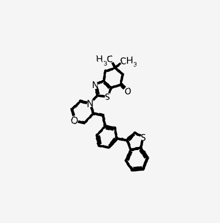 CC1(C)CC(=O)c2sc(N3CCOCC3Cc3cccc(-c4csc5ccccc45)c3)nc2C1